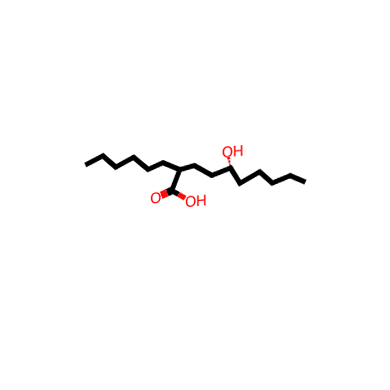 CCCCCCC(CC[C@H](O)CCCCC)C(=O)O